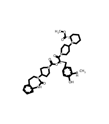 CBc1cc(C[C@@H](OC(=O)N2CCC(N3CCc4ccccc4NC3=O)CC2)C(=O)N2CCC(N3CCCC[C@H]3C(=O)OC)CC2)ccc1O